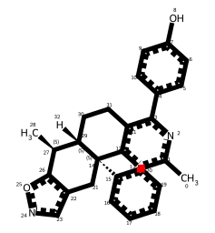 Cc1nc(-c2ccc(O)cc2)c2c(n1)[C@@]1(c3ccccc3)Cc3cnoc3[C@@H](C)[C@@H]1CC2